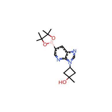 CC1(O)CC(n2cnc3cc(B4OC(C)(C)C(C)(C)O4)cnc32)C1